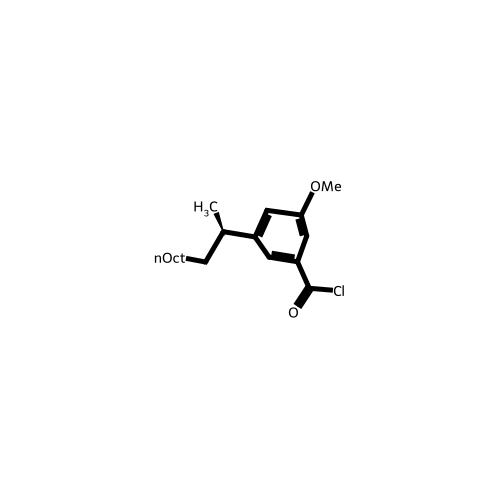 CCCCCCCCC[C@@H](C)c1cc(OC)cc(C(=O)Cl)c1